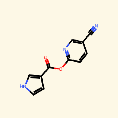 N#Cc1ccc(OC(=O)c2cc[nH]c2)nc1